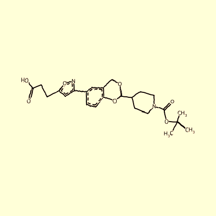 CC(C)(C)OC(=O)N1CCC(C2OCc3cc(-c4cc(CCC(=O)O)on4)ccc3O2)CC1